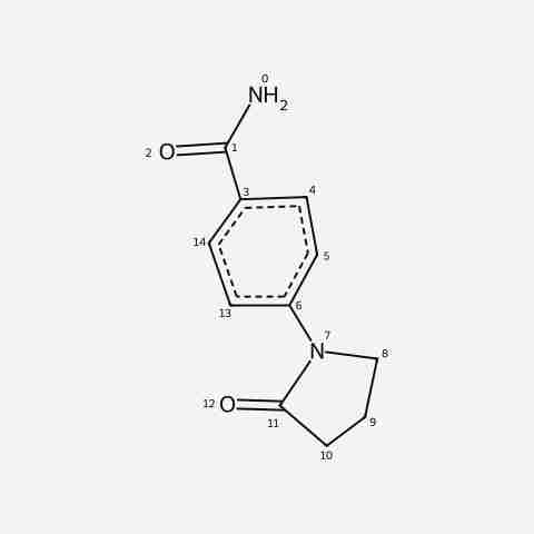 NC(=O)c1ccc(N2CCCC2=O)cc1